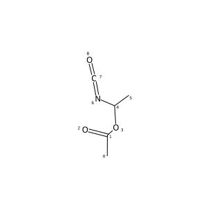 CC(=O)OC(C)N=C=O